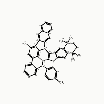 Cc1ccc(N2B3c4sc5cc6c(cc5c4-n4c5cc7ccccc7cc5c5c(C)cc(c3c54)-c3ccccc32)C(C)(C)CCC6(C)C)cc1